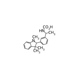 CC(NC(=O)O)c1cccc(C2N(C)c3ccccc3C2(C)C)c1